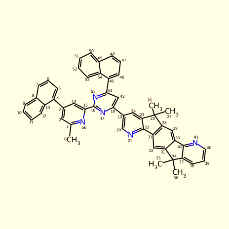 Cc1cc(-c2cccc3ccccc23)cc(-c2nc(-c3cnc4c(c3)C(C)(C)c3cc5c(cc3-4)C(C)(C)c3cccnc3-5)cc(-c3cccc4ccccc34)n2)n1